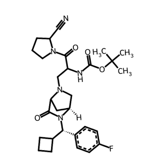 CC(C)(C)OC(=O)NC(CN1C[C@@H]2CC1C(=O)N2[C@H](c1ccc(F)cc1)C1CCC1)C(=O)N1CCCC1C#N